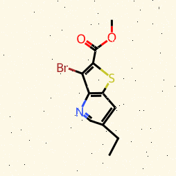 CCc1cnc2c(Br)c(C(=O)OC)sc2c1